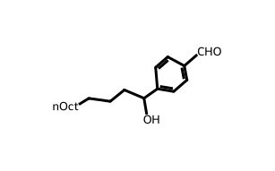 CCCCCCCCCCCC(O)c1ccc(C=O)cc1